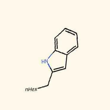 CCCCCCCc1cc2ccccc2[nH]1